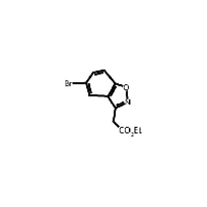 CCOC(=O)Cc1noc2ccc(Br)cc12